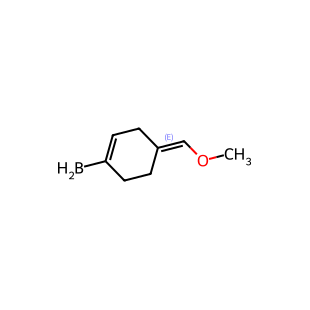 BC1=CC/C(=C/OC)CC1